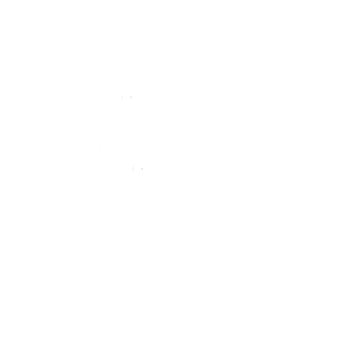 CCCCCCCS(=O)(=O)Oc1cccccccs1